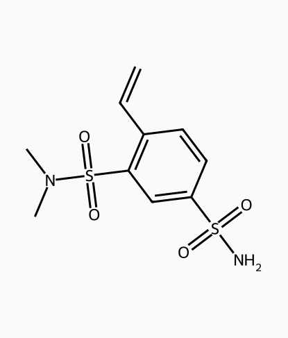 C=Cc1ccc(S(N)(=O)=O)cc1S(=O)(=O)N(C)C